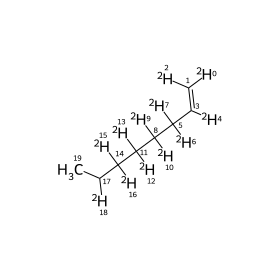 [2H]C([2H])=C([2H])C([2H])([2H])C([2H])([2H])C([2H])([2H])C([2H])([2H])C([2H])C